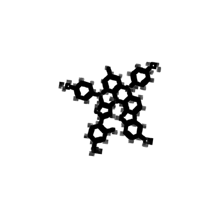 Cc1cc2c3c(c1)N(c1ccc(C(F)(F)F)cc1)c1oc(-c4ccc(C(C)(C)C)cc4C)cc1B3c1c(ccc3c1sc1ccc(C#N)cc13)N2c1ccc(C(F)(F)F)cc1